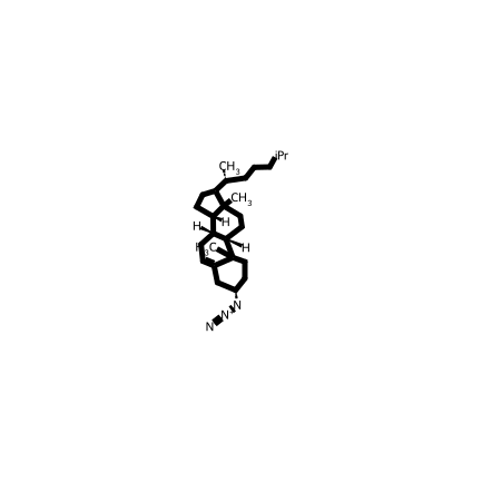 CC(C)CCC[C@@H](C)C1CC[C@H]2[C@H]3CC=C4C[C@@H](N=[N+]=[N-])CCC4(C)[C@H]3CCC12C